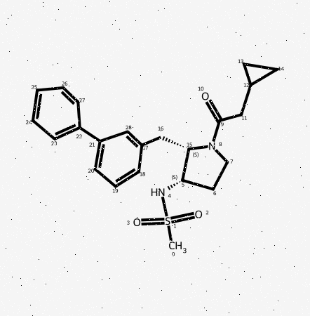 CS(=O)(=O)N[C@H]1CCN(C(=O)CC2CC2)[C@H]1Cc1cccc(-c2ccccc2)c1